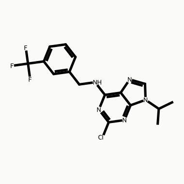 CC(C)n1cnc2c(NCc3cccc(C(F)(F)F)c3)nc(Cl)nc21